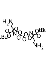 CC(C)(C)OC(=O)c1nc(OC(=O)C(=O)Oc2nc(C(=O)OC(C)(C)C)c(CCN)o2)oc1CCN